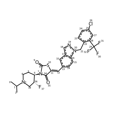 CC(C)N1CC[C@@H](N2C(=O)SC(=Cc3ccc4c(cnn4Cc4ccc(Cl)cc4C(F)(F)F)c3)C2=O)[C@H](F)C1